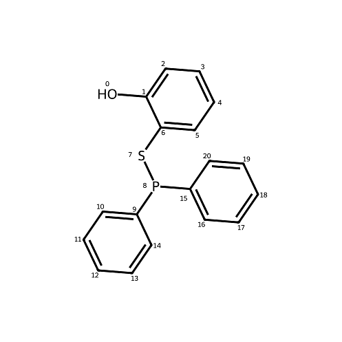 Oc1ccccc1SP(c1ccccc1)c1ccccc1